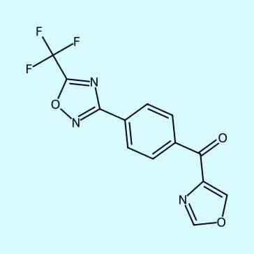 O=C(c1ccc(-c2noc(C(F)(F)F)n2)cc1)c1cocn1